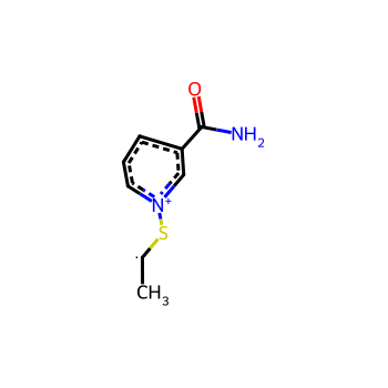 C[CH]S[n+]1cccc(C(N)=O)c1